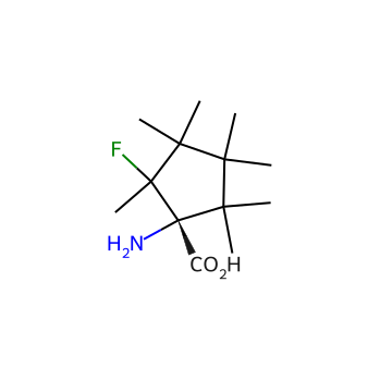 CC1(C)C(C)(C)C(C)(F)[C@](N)(C(=O)O)C1(C)C